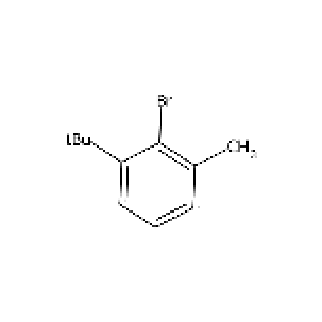 Cc1[c]ccc(C(C)(C)C)c1Br